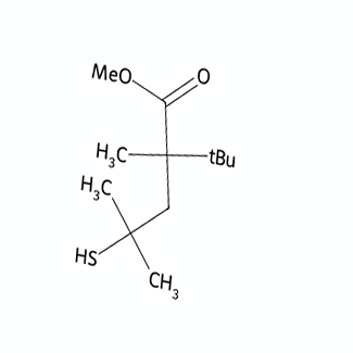 COC(=O)C(C)(CC(C)(C)S)C(C)(C)C